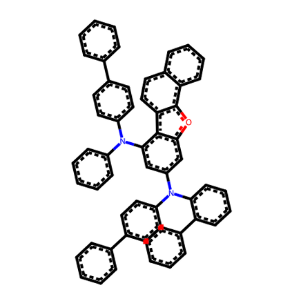 c1ccc(-c2ccc(N(c3cc(N(c4ccccc4)c4ccc(-c5ccccc5)cc4)c4c(c3)oc3c5ccccc5ccc34)c3ccccc3-c3ccccc3)cc2)cc1